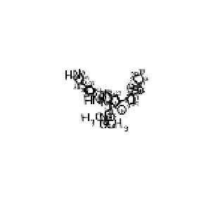 CN(CCn1c(=O)c(-c2cccc(S(=O)(=O)C3CCCCC3)c2)cc2cnc(Nc3ccc(C4=CCNCC4)cc3)nc21)S(C)(=O)=O